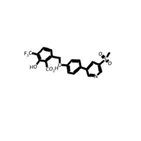 CS(=O)(=O)c1cncc(-c2ccc(OCc3ccc(C(F)(F)F)c(O)c3C(=O)O)cc2)c1